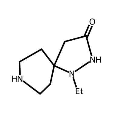 CCN1NC(=O)CC12CCNCC2